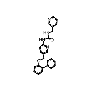 O=C(NCc1cccnc1)Nc1ccc(COc2ccccc2-c2ccccc2)cn1